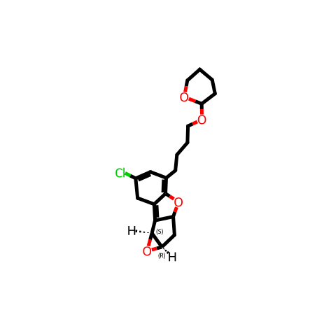 ClC1=CC(CCCCOC2CCCCO2)=C2OC3C[C@H]4O[C@H]4C3=C2C1